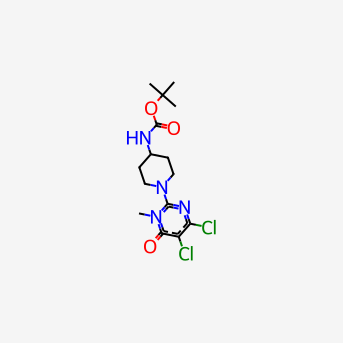 Cn1c(N2CCC(NC(=O)OC(C)(C)C)CC2)nc(Cl)c(Cl)c1=O